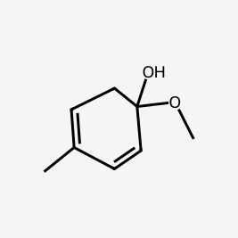 COC1(O)C=CC(C)=CC1